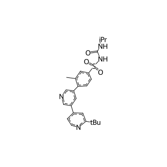 Cc1cc(S(=O)(=O)NC(=O)NC(C)C)ccc1-c1cncc(-c2ccnc(C(C)(C)C)c2)c1